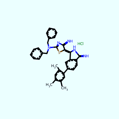 Cc1cc(C)c(-c2ccc3c(c2)C(=C2SC(N(Cc4ccccc4)Cc4ccccc4)=NC2=N)NC3=N)cc1C.Cl